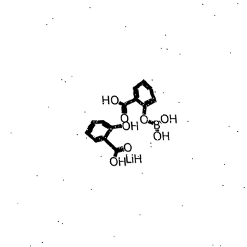 O=C(O)c1ccccc1O.O=C(O)c1ccccc1OB(O)O.[LiH]